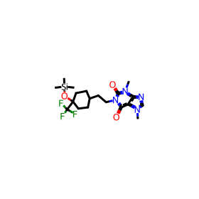 Cn1cnc2c1c(=O)n(CCC1CCC(O[Si](C)(C)C)(C(F)(F)F)CC1)c(=O)n2C